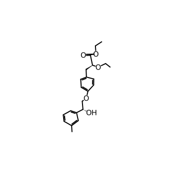 CCOC(=O)[C@H](Cc1ccc(OC[C@H](O)c2cccc(C)c2)cc1)OCC